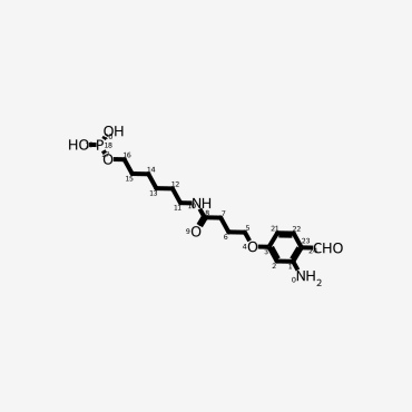 Nc1cc(OCCCC(=O)NCCCCCCOP(O)O)ccc1C=O